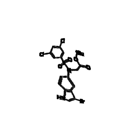 CC(C)(C)OC(=O)CN(c1ccc2[nH]cc(Br)c2c1)S(=O)(=O)c1cc(Cl)cc(Cl)c1